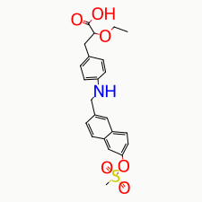 CCOC(Cc1ccc(NCc2ccc3cc(OS(C)(=O)=O)ccc3c2)cc1)C(=O)O